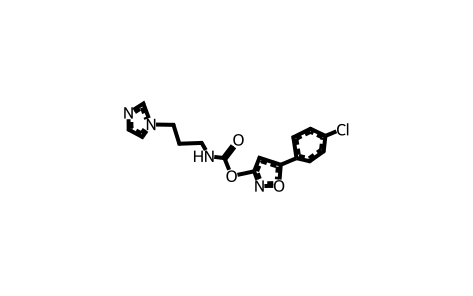 O=C(NCCCn1ccnc1)Oc1cc(-c2ccc(Cl)cc2)on1